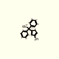 CC(C)C1=CCC(C(c2ccccc2)(c2ccccc2)C(C)(C)C)=C1